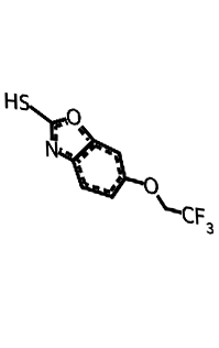 FC(F)(F)COc1ccc2nc(S)oc2c1